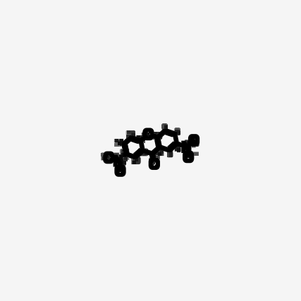 O=c1c2cc([N+](=O)[O-])ccc2oc2ccc([N+](=O)[O-])cc12